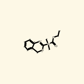 CCOC(=O)[N+](C)(C)C1=Nc2ccccc2C[N]1